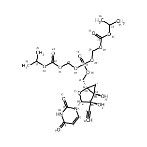 C#C[C@]1(O)[C@H](n2ccc(=O)[nH]c2=O)O[C@@]2(COP(=O)(OCOC(=O)OC(C)C)OCOC(=O)OC(C)C)C[C@@]21O